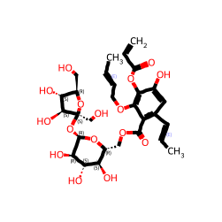 C=CC(=O)Oc1c(O)cc(/C=C/C)c(C(=O)OC[C@H]2O[C@H](O[C@]3(CO)O[C@H](CO)[C@@H](O)[C@@H]3O)[C@H](O)[C@@H](O)[C@@H]2O)c1OC/C=C/C